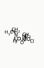 CCS(=O)(=O)c1ccc(Cl)cc1CNC(=O)c1ccc(CN2CCC[C@@H](N(C)C)C2)c(C(F)(F)F)c1